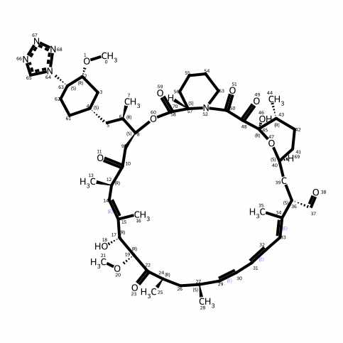 CO[C@@H]1C[C@H](C[C@@H](C)[C@@H]2CC(=O)[C@H](C)/C=C(\C)[C@@H](O)[C@@H](OC)C(=O)[C@H](C)C[C@H](C)/C=C/C=C/C=C(\C)[C@@H](C=O)C[C@@H]3CC[C@@H](C)[C@@](O)(O3)C(=O)C(=O)N3CCCC[C@H]3C(=O)O2)CC[C@@H]1n1cnnn1